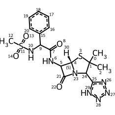 CC1(C)S[C@H]2C(NC(=O)C(NS(C)(=O)=O)c3ccccc3)C(=O)N2C1c1nnn[nH]1